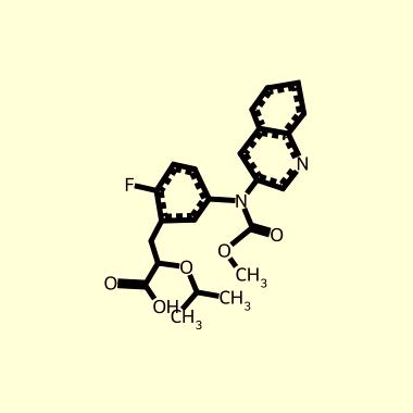 COC(=O)N(c1ccc(F)c(CC(OC(C)C)C(=O)O)c1)c1cnc2ccccc2c1